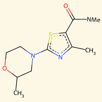 CNC(=O)c1sc(N2CCOC(C)C2)nc1C